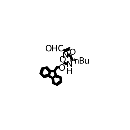 CCCC[C@H](NC(=O)OCC1c2ccccc2-c2ccccc21)c1nc(C=O)co1